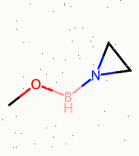 COBN1CC1